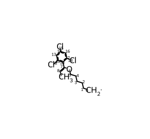 [CH2]CCCCCOC(=CC)c1c(Cl)cc(Cl)cc1Cl